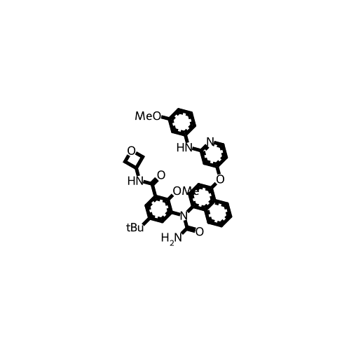 COc1cccc(Nc2cc(Oc3ccc(N(C(N)=O)c4cc(C(C)(C)C)cc(C(=O)NC5COC5)c4OC)c4ccccc34)ccn2)c1